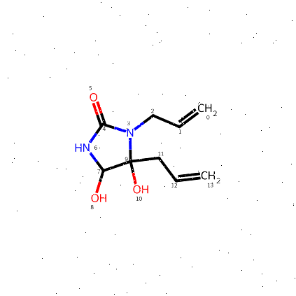 C=CCN1C(=O)NC(O)C1(O)CC=C